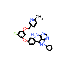 Cc1ccc(COc2cc(F)cc(Oc3ccc(-c4nn(C5CCCC5)c5ncnc(N)c45)cc3)c2)cn1